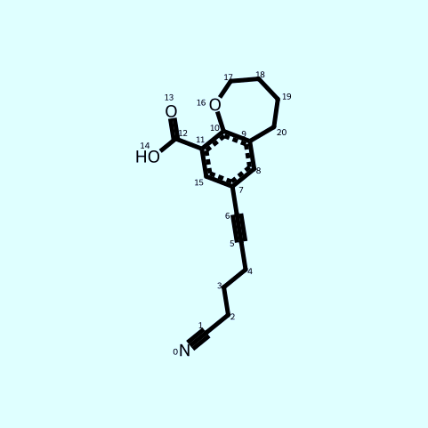 N#CCCCC#Cc1cc2c(c(C(=O)O)c1)OCCCC2